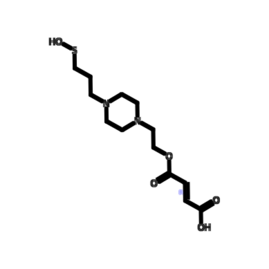 O=C(O)/C=C/C(=O)OCCN1CCN(CCCSO)CC1